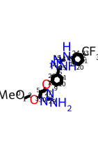 COCCOc1cc(Oc2cccc(-c3nnc(Nc4cccc(C(F)(F)F)c4)[nH]3)c2)nc(N)n1